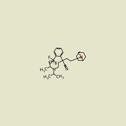 CC(C)N(CCC(C#N)(CCN1CC2CCC(CC2)C1)c1ccccc1C(F)(F)F)C(C)C